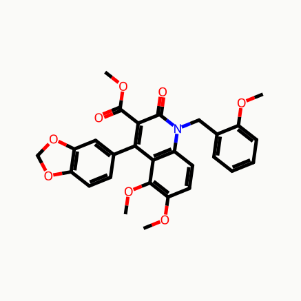 COC(=O)c1c(-c2ccc3c(c2)OCO3)c2c(OC)c(OC)ccc2n(Cc2ccccc2OC)c1=O